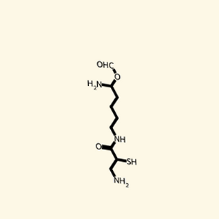 NCC(S)C(=O)NCCCCC(N)OC=O